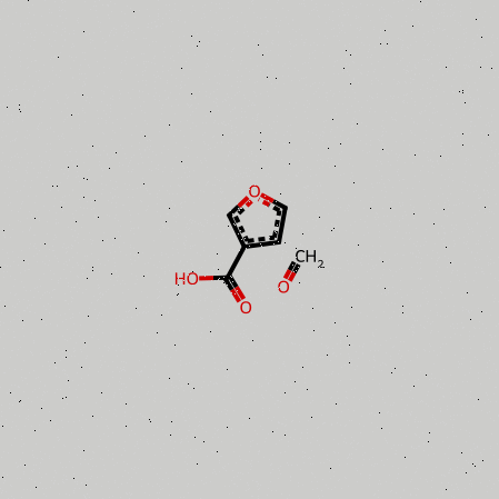 C=O.O=C(O)c1ccoc1